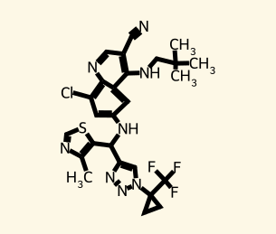 Cc1ncsc1C(Nc1cc(Cl)c2ncc(C#N)c(NCC(C)(C)C)c2c1)c1cn(C2(C(F)(F)F)CC2)nn1